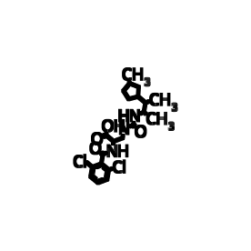 CC1CCC(C(C)C(C)NC(=O)NCC(NC(=O)c2c(Cl)cccc2Cl)C(=O)O)C1